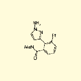 CCc1cccc(C(=O)NC)c1-c1ccn(N)n1